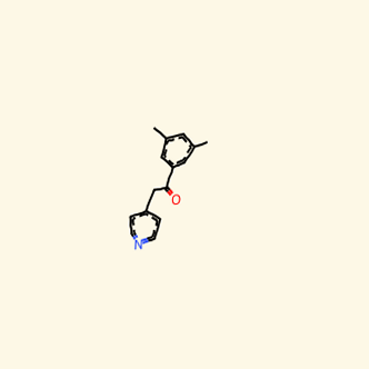 Cc1cc(C)cc(C(=O)Cc2ccncc2)c1